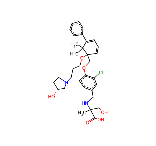 CC(CO)(NCc1ccc(OCC2(OCCCN3CC[C@@H](O)C3)C=CC=C(c3ccccc3)C2(C)C)c(Cl)c1)C(=O)O